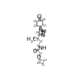 C=C(CCNC(=O)COC1CCC1)c1cn(-c2ccc(Cl)cc2)nn1